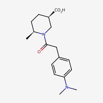 C[C@H]1CC[C@@H](C(=O)O)CN1C(=O)Cc1ccc(N(C)C)cc1